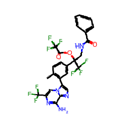 Cc1ccc(C(CNC(=O)c2ccccc2)(OC(=O)C(F)(F)F)C(F)(F)F)cc1-c1cnc2c(N)nc(C(F)(F)F)cn12